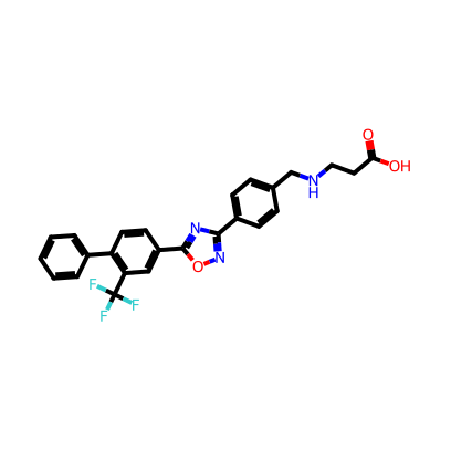 O=C(O)CCNCc1ccc(-c2noc(-c3ccc(-c4ccccc4)c(C(F)(F)F)c3)n2)cc1